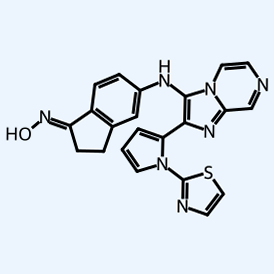 ON=C1CCc2cc(Nc3c(-c4cccn4-c4nccs4)nc4cnccn34)ccc21